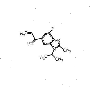 C=CC(=N)c1cc(F)c2nc(C)n(C(C)C)c2c1